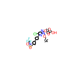 C[Si](C)(C)CCOCn1c(OC2COC3C(O)CO[C@H]23)nc2cc(Cl)c(-c3ccc(-c4ccc(CS(C)(=O)=NC(=O)C(F)(F)F)cc4)cc3)nc21